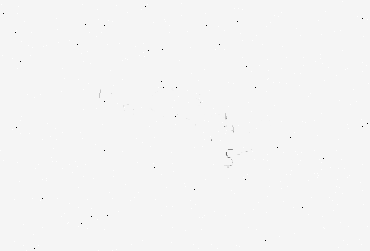 COc1ccc2sc(=NN3C(=O)CSC3=S)sc2c1